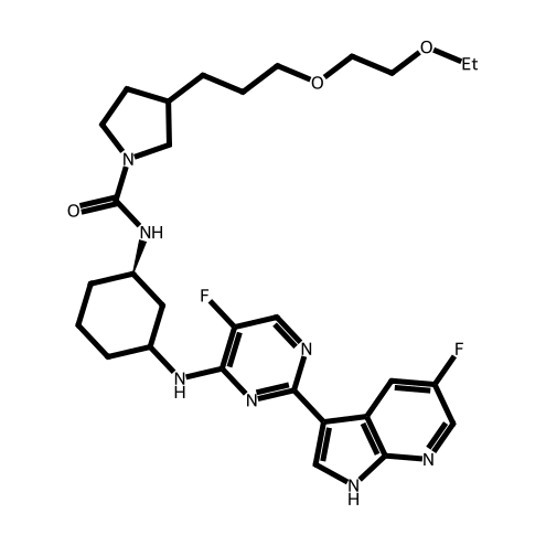 CCOCCOCCCC1CCN(C(=O)N[C@@H]2CCCC(Nc3nc(-c4c[nH]c5ncc(F)cc45)ncc3F)C2)C1